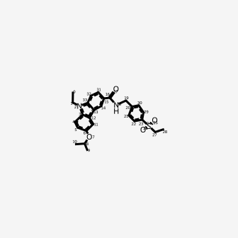 CCn1c2ccc(OC(C)C)cc2c2cc(C(=O)NCc3ccc(S(=O)(=O)CC)cc3)ccc21